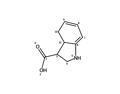 O=C(O)C1CNC2=CC=CCC21